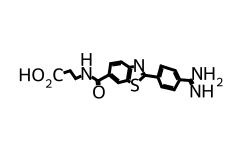 N=C(N)c1ccc(-c2nc3ccc(C(=O)NCCC(=O)O)cc3s2)cc1